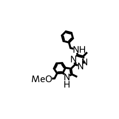 COCc1cccc2c(-c3nnc(C)c(NCc4ccccc4)n3)c(C)[nH]c12